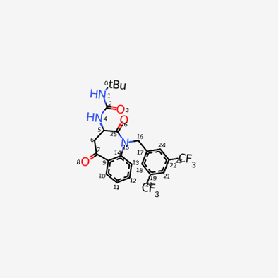 CC(C)(C)NC(=O)N[C@@H]1CC(=O)c2ccccc2N(Cc2cc(C(F)(F)F)cc(C(F)(F)F)c2)C1=O